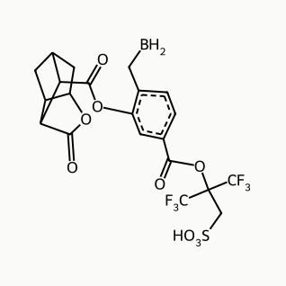 BCc1ccc(C(=O)OC(CS(=O)(=O)O)(C(F)(F)F)C(F)(F)F)cc1OC(=O)C1C2CC3OC(=O)C1C3C2